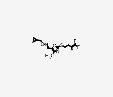 Cc1nc(SCCC(F)=C(F)F)oc1C=NOCC1CC1